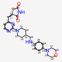 O=C1NC(=O)/C(=C\c2ccnc(N3CCC(CNc4ccc(N5CCOCC5)cc4)CC3)n2)S1